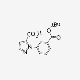 CC(C)(C)OC(=O)c1cccc(-n2nccc2C(=O)O)c1